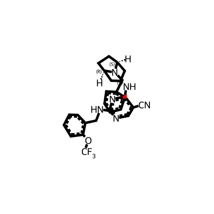 N#Cc1cnc(NCc2ccccc2OC(F)(F)F)nc1N[C@@H]1C[C@H]2CC[C@@H](C1)N2Cc1ccccc1